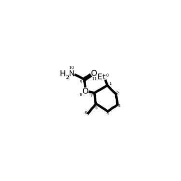 CCC1CCCC(C)C1OC(N)=O